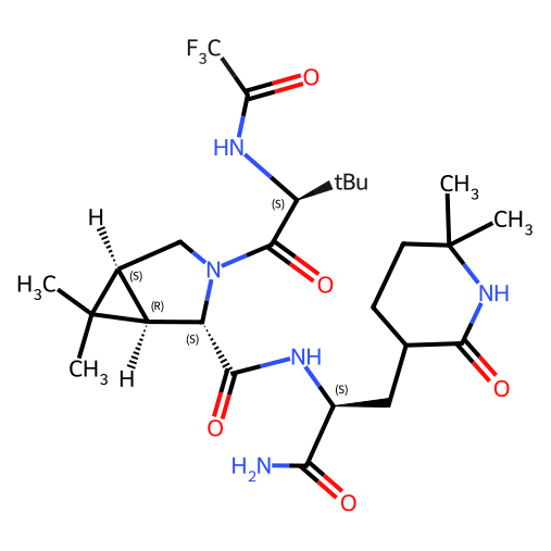 CC1(C)CCC(C[C@H](NC(=O)[C@@H]2[C@@H]3[C@H](CN2C(=O)[C@@H](NC(=O)C(F)(F)F)C(C)(C)C)C3(C)C)C(N)=O)C(=O)N1